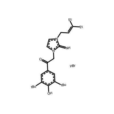 Br.CCC(=CCn1ccn(CC(=O)c2cc(C(C)(C)C)c(O)c(C(C)(C)C)c2)c1=N)CC